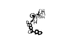 O=C(CCc1cc2cc3c(-c4ccc5ccccc5c4)coc3cc2oc1=O)NCC(O)CO